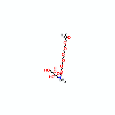 BN(CCOCCOCCOCCOCCOCCOCCC(C)=O)CC(O)C(O)C(O)CCO